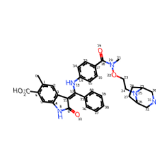 Cc1cc2c(cc1C(=O)O)NC(=O)C2=C(Nc1ccc(C(=O)N(C)OCCN2C3CCC2CNC3)cc1)c1ccccc1